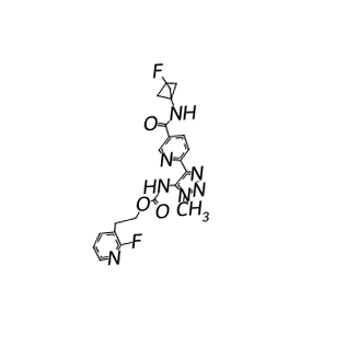 Cn1nnc(-c2ccc(C(=O)NC34CC(F)(C3)C4)cn2)c1NC(=O)OCCc1cccnc1F